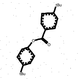 CC(C)(C)c1ccc(OC(=O)c2ccc(C(C)(C)C)cc2)cc1